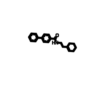 O=C(NCCC1=CCCCC1)c1ccc(-c2ccccc2)cc1